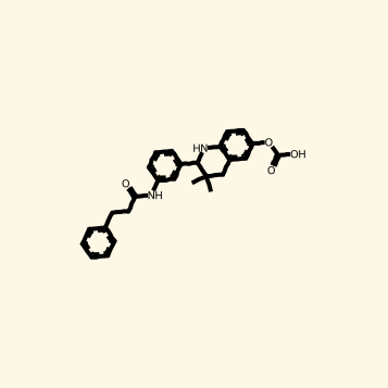 CC1(C)Cc2cc(OC(=O)O)ccc2NC1c1cccc(NC(=O)CCc2ccccc2)c1